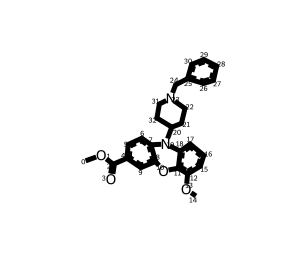 COC(=O)c1ccc2c(c1)Oc1c(OC)cccc1N2C1CCN(Cc2ccccc2)CC1